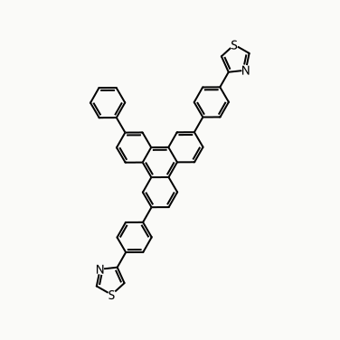 c1ccc(-c2ccc3c4cc(-c5ccc(-c6cscn6)cc5)ccc4c4ccc(-c5ccc(-c6cscn6)cc5)cc4c3c2)cc1